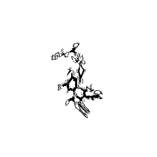 CC(C)(C)OC(=O)NS(=O)(=O)N1CC(Sc2nonc2-c2noc(=O)n2-c2ccc(F)c(Br)c2)C1